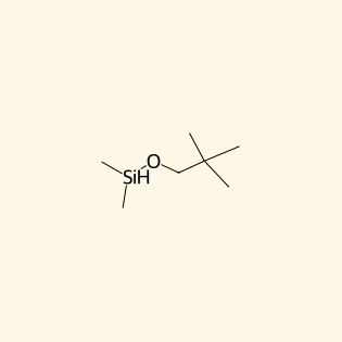 C[SiH](C)OCC(C)(C)C